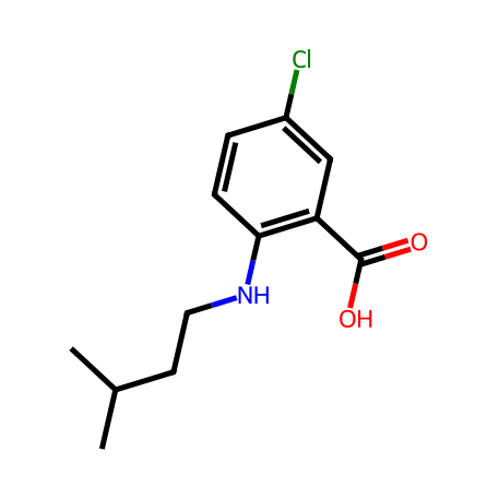 CC(C)CCNc1ccc(Cl)cc1C(=O)O